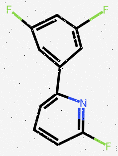 Fc1cc(F)cc(-c2cccc(F)n2)c1